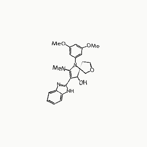 CNC1=C(c2nc3ccccc3[nH]2)C(O)[C@@]2(CCOC2)N1c1cc(OC)cc(OC)c1